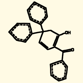 O=C(C1=C(O)CC(c2ccccc2)(c2ccccc2)C=C1)c1ccccc1